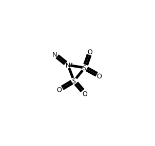 [N-]=[N+]1S(=O)(=O)S1(=O)=O